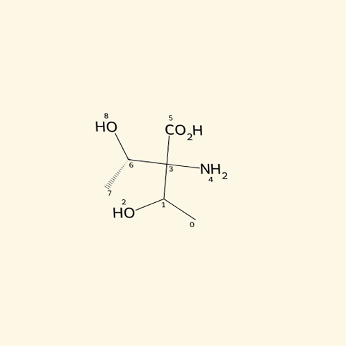 CC(O)C(N)(C(=O)O)[C@H](C)O